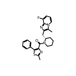 Cc1nc(C(=O)N2CCCC[C@H]2Cc2nc3c(F)cccn3c2C)c(-c2ccccc2)s1